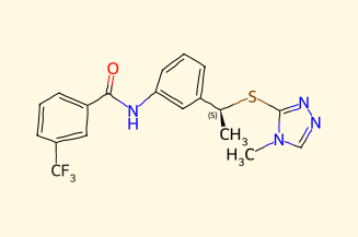 C[C@H](Sc1nncn1C)c1cccc(NC(=O)c2cccc(C(F)(F)F)c2)c1